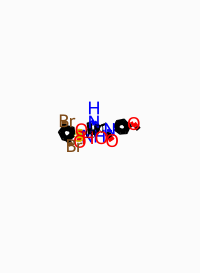 COc1ccc(N(C[C@H]2C[C@@H](NS(=O)(=O)c3cc(Br)ccc3Br)CN2)C(=O)O)cc1